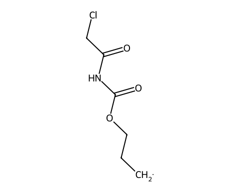 [CH2]CCOC(=O)NC(=O)CCl